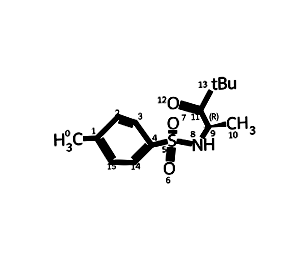 Cc1ccc(S(=O)(=O)N[C@H](C)C(=O)C(C)(C)C)cc1